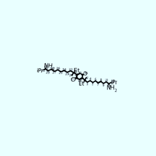 CCC(C)(CCCCCCCCC(N)C(C)C)C1=CC(=O)C(C(C)(CC)CCCCCCCCC(N)C(C)C)=CC1=O